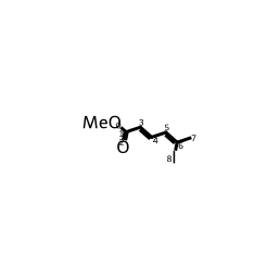 COC(=O)/C=C/C=C(/C)I